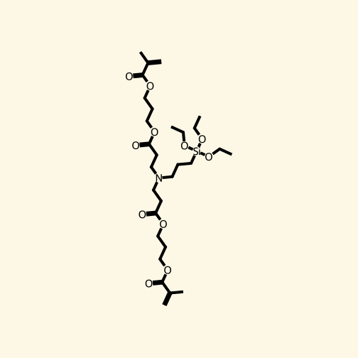 C=C(C)C(=O)OCCCOC(=O)CCN(CCC[Si](OCC)(OCC)OCC)CCC(=O)OCCCOC(=O)C(=C)C